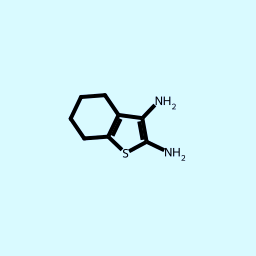 Nc1sc2c(c1N)CCCC2